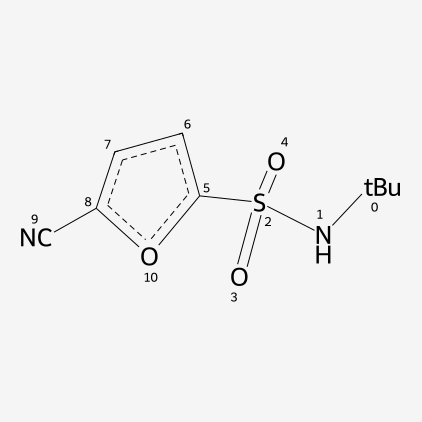 CC(C)(C)NS(=O)(=O)c1ccc(C#N)o1